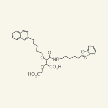 O=C(O)COC(C(=O)O)C(OCCCCCc1ccc2ccccc2c1)C(=O)NCCCCCCc1nc2ccccc2o1